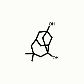 CC1(C)CC2CC3CC(O)(C2)CC3(O)C1